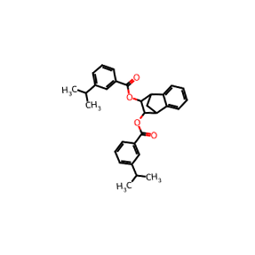 CC(C)c1cccc(C(=O)OC2C3CC(c4ccccc43)C2OC(=O)c2cccc(C(C)C)c2)c1